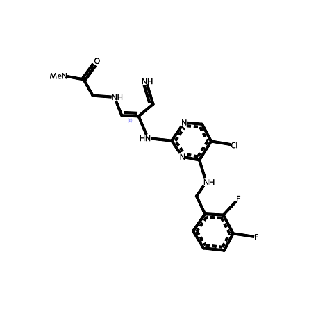 CNC(=O)CN/C=C(\C=N)Nc1ncc(Cl)c(NCc2cccc(F)c2F)n1